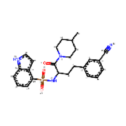 CC1CCN(C(=O)C(CCc2cccc(C#N)c2)NS(=O)(=O)c2cccc3[nH]ccc23)CC1